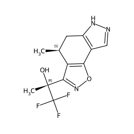 C[C@H]1Cc2[nH]ncc2-c2onc([C@@](C)(O)C(F)(F)F)c21